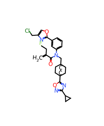 C=C(CCF)C(=O)N(CC12CCC(c3nc(C4CC4)no3)(CC1)CC2)c1cccc(-c2nc(CCl)co2)c1